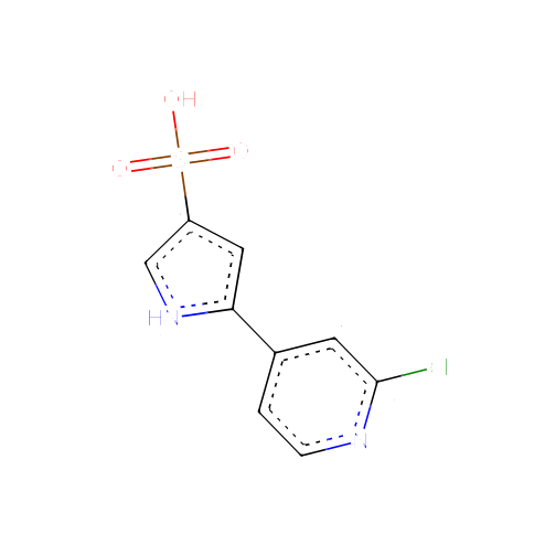 O=S(=O)(O)c1c[nH]c(-c2ccnc(Cl)c2)c1